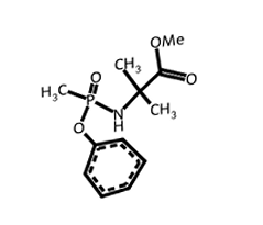 COC(=O)C(C)(C)NP(C)(=O)Oc1ccccc1